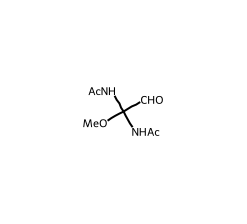 COC(C=O)(NC(C)=O)NC(C)=O